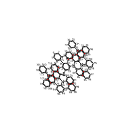 c1ccc(-c2cccc(-c3ccccc3)c2-c2c3c(cc4c2Sc2cc(N(c5ccccc5)c5ccccc5)cc5c2B4c2ccccc2N5c2c(-c4ccccc4)cccc2-c2ccccc2)B2c4ccccc4N(c4c(-c5ccccc5)cccc4-c4ccccc4)c4cc(N(c5ccccc5)c5ccccc5)cc(c42)S3)cc1